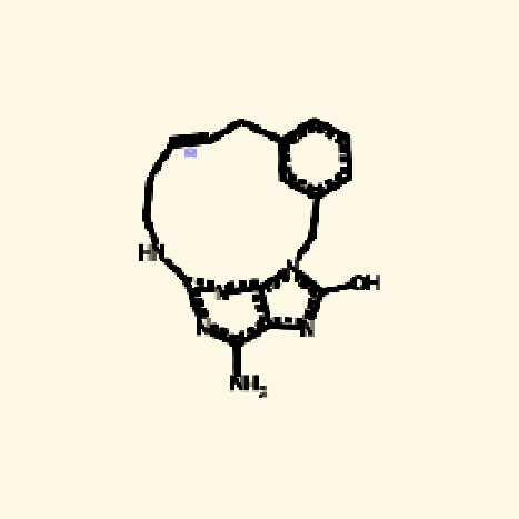 Nc1nc2nc3c1nc(O)n3Cc1cccc(c1)C/C=C/CCN2